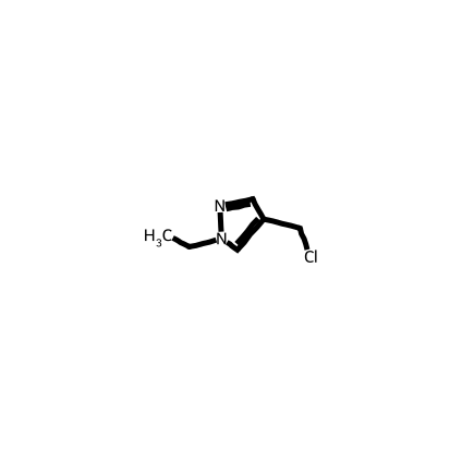 CCn1cc(CCl)cn1